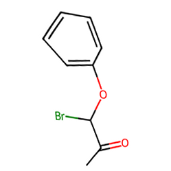 CC(=O)C(Br)Oc1ccccc1